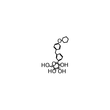 OC[C@H]1O[C@@H](c2cccc(Cc3ccc(OC4CCCCC4)cc3)c2)[C@H](O)[C@@H](O)[C@@H]1O